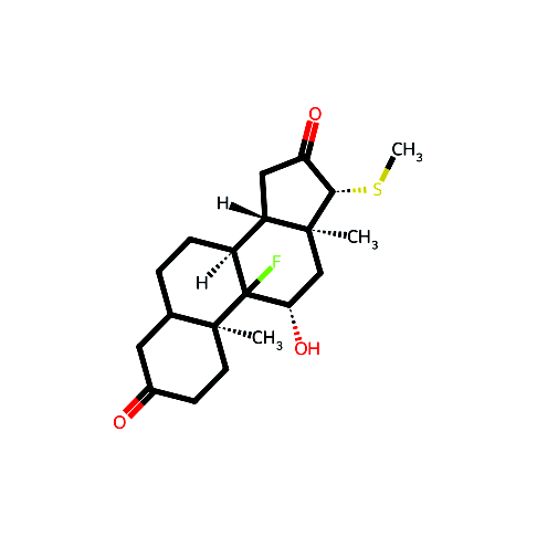 CS[C@H]1C(=O)C[C@H]2[C@@H]3CCC4CC(=O)CC[C@]4(C)C3(F)[C@@H](O)C[C@]12C